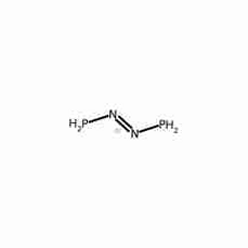 P/N=N/P